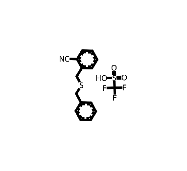 N#Cc1ccccc1CSCc1ccccc1.O=S(=O)(O)C(F)(F)F